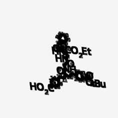 CCOC(=O)[C@H](CNC(=O)CNC(=O)C(CCC1CCN(C(=O)O)CC1)CCC1CCN(C(=O)OC(C)(C)C)CC1)NS(=O)(=O)Cc1ccccc1